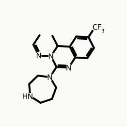 C/C=N\N1C(N2CCCNCC2)=Nc2ccc(C(F)(F)F)cc2C1C